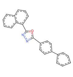 c1ccc(-c2ccc(-c3nnc(-c4cccc5ccccc45)o3)cc2)cc1